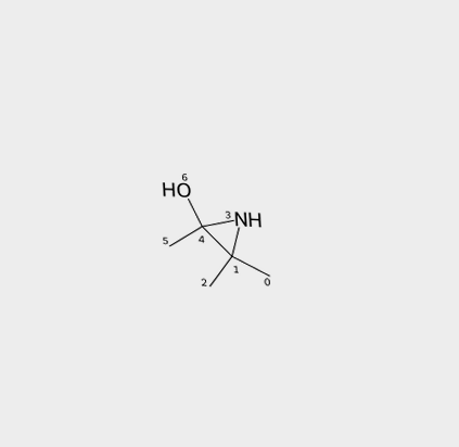 CC1(C)NC1(C)O